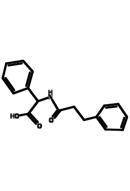 O=C(CCc1ccccc1)NC(C(=O)O)c1ccccc1